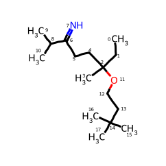 CCC(C)(CCC(=N)C(C)C)OCCC(C)(C)C